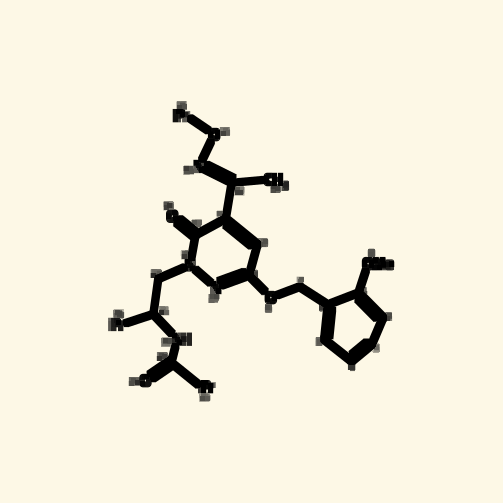 COc1ccccc1COc1cc(/C(C)=N/OC(C)C)c(=O)n(CC(NC(=O)C(C)C)C(C)C)n1